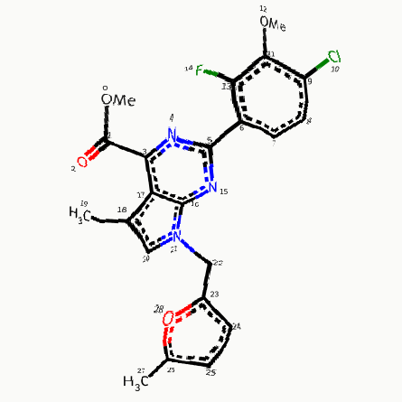 COC(=O)c1nc(-c2ccc(Cl)c(OC)c2F)nc2c1c(C)cn2Cc1ccc(C)o1